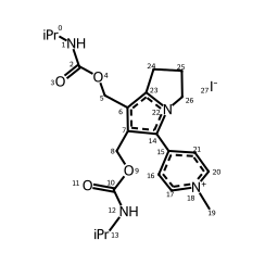 CC(C)NC(=O)OCc1c(COC(=O)NC(C)C)c(-c2cc[n+](C)cc2)n2c1CCC2.[I-]